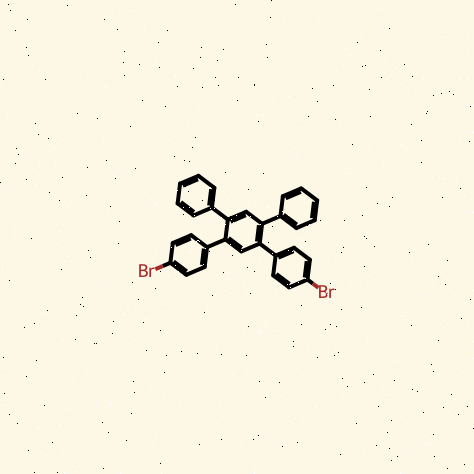 Brc1ccc(-c2cc(-c3ccc(Br)cc3)c(-c3ccccc3)cc2-c2ccccc2)cc1